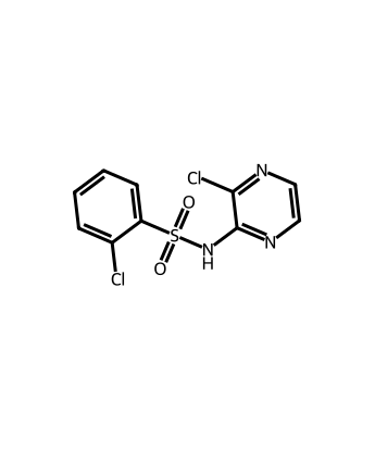 O=S(=O)(Nc1nccnc1Cl)c1ccccc1Cl